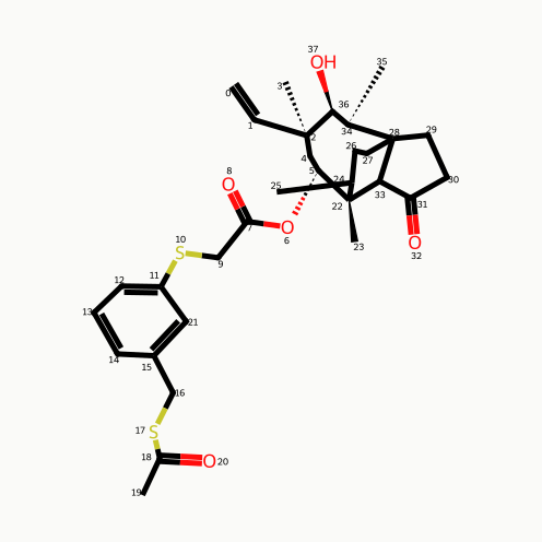 C=C[C@]1(C)C[C@@H](OC(=O)CSc2cccc(CSC(C)=O)c2)[C@]2(C)C(C)CCC3(CCC(=O)C32)[C@@H](C)[C@@H]1O